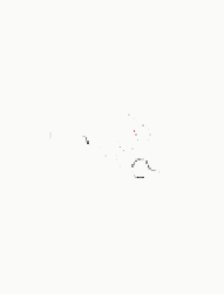 CCOC(=O)C=CCC[C@H]([C@@H](O)c1ccc(C(F)(F)F)cc1)N(CC1CCCC1)CC1CCCC1